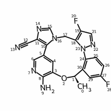 C[C@H]1Oc2cc(cnc2N)-c2c(C#N)ncn2Cc2c(F)cnn2-c2ccc(F)cc21